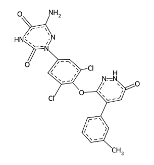 Cc1cccc(-c2cc(=O)[nH]nc2Oc2c(Cl)cc(-n3nc(N)c(=O)[nH]c3=O)cc2Cl)c1